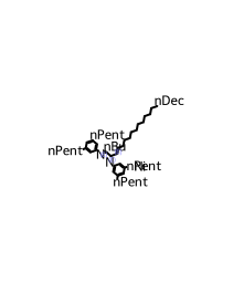 CCCCCCCCCCCCCCCCCCCCC/C=C/C(=N\c1cc(CCCCC)cc(CCCCC)c1)C(/CCCC)=N/c1cc(CCCCC)cc(CCCCC)c1.[Ni]